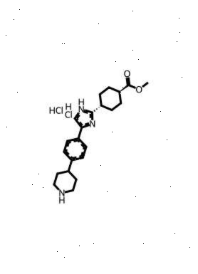 COC(=O)[C@H]1CC[C@H](c2nc(-c3ccc(C4CCNCC4)cc3)c[nH]2)CC1.Cl.Cl